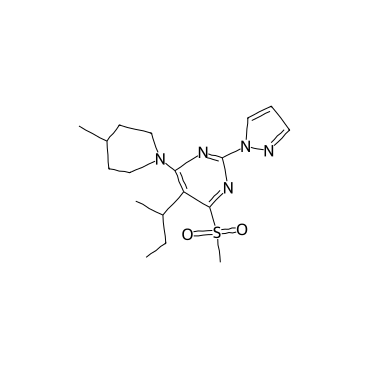 CCC(C)c1c(N2CCC(C)CC2)nc(-n2cccn2)nc1S(C)(=O)=O